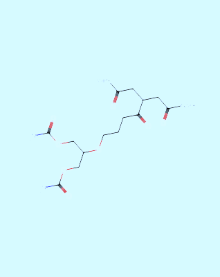 CNC(=O)CC(CC(=O)NC)C(=O)CCCOC(COC(N)=O)COC(N)=O